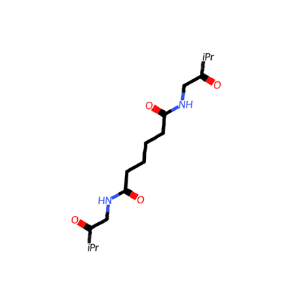 CC(C)C(=O)CNC(=O)CCCCC(=O)NCC(=O)C(C)C